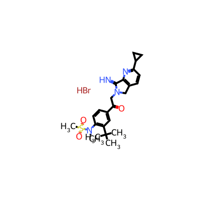 Br.CN(c1ccc(C(=O)CN2Cc3ccc(C4CC4)nc3C2=N)cc1C(C)(C)C)S(C)(=O)=O